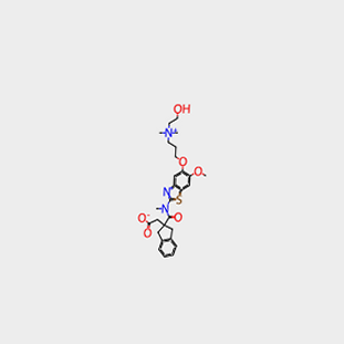 COc1cc2sc(N(C)C(=O)C3(CC(=O)[O-])Cc4ccccc4C3)nc2cc1OCCC[N+](C)(C)CCO